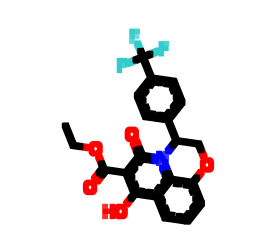 CCOC(=O)c1c(O)c2cccc3c2n(c1=O)C(c1ccc(C(F)(F)F)cc1)CO3